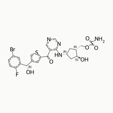 NS(=O)(=O)OC[C@H]1C[C@@H](Nc2ncncc2C(=O)c2cc([C@H](O)c3cc(Br)ccc3F)cs2)C[C@@H]1O